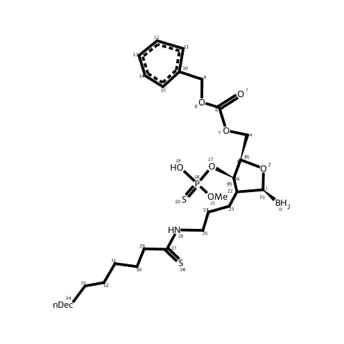 B[C@@H]1O[C@H](COC(=O)OCc2ccccc2)[C@H](OP(O)(=S)OC)C1CCCNC(=S)CCCCCCCCCCCCCCC